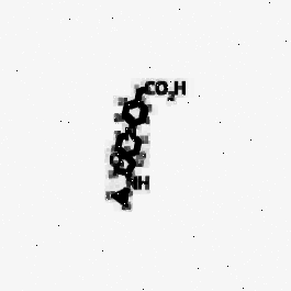 O=C(O)Cc1ccc(N2CCC3(CC2)CC(NC2CC2)CO3)cc1